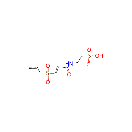 C=CCS(=O)(=O)C=CC(=O)NCCS(=O)(=O)O